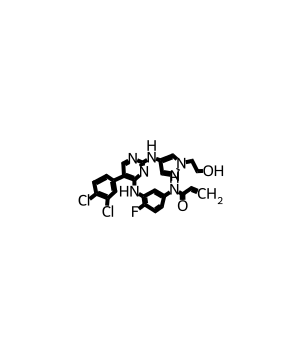 C=CC(=O)Nc1ccc(F)c(Nc2nc(Nc3cnn(CCO)c3)ncc2-c2ccc(Cl)c(Cl)c2)c1